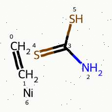 C=C.NC(=S)S.[Ni]